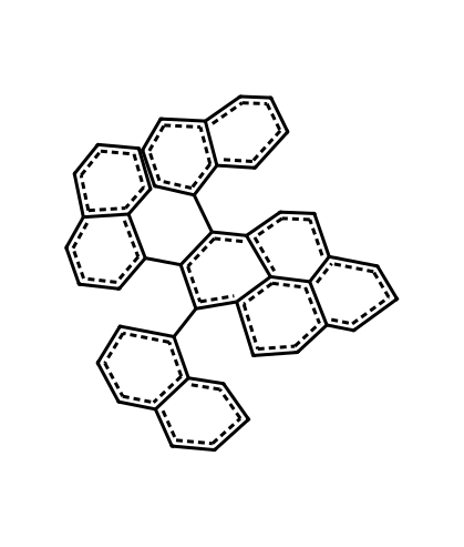 c1ccc2c(-c3c(-c4cccc5ccccc45)c4ccc5cccc6ccc(c3-c3cccc7ccccc37)c4c56)cccc2c1